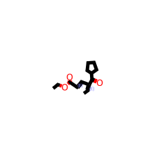 C/C=C(\C=C\C(=O)OCC)C(=O)C1CCCC1